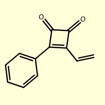 C=Cc1c(-c2ccccc2)c(=O)c1=O